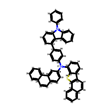 c1ccc(-n2c3ccccc3c3c(-c4ccc(N(c5ccc6ccc7ccccc7c6c5)c5cccc6c5sc5c7ccccc7ccc65)cc4)cccc32)cc1